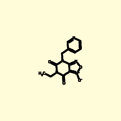 CCn1c(=O)c2c(no[n+]2[O-])n(Cc2cccnc2)c1=O